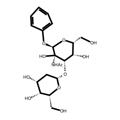 CC(=O)N[C@]1(O)[C@@H](Oc2ccccc2)O[C@H](CO)[C@H](O)[C@@H]1O[C@H]1C[C@@H](O)[C@@H](O)[C@@H](CO)O1